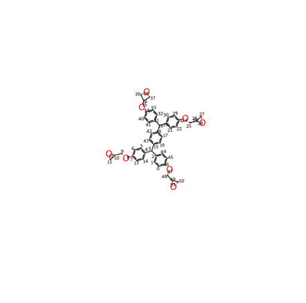 c1cc(C(c2ccc(OCC3CO3)cc2)c2ccc(C(c3ccc(OC[C@H]4CO4)cc3)c3ccc(OC4COC4)cc3)cc2)ccc1OCC1CO1